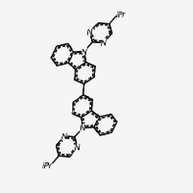 CC(C)c1cnc(-n2c3ccccc3c3cc(-c4ccc5c(c4)c4ccccc4n5-c4ncc(C(C)C)cn4)ccc32)nc1